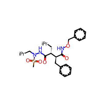 CC(C)C[C@@H](C(=O)NN(CC(C)C)S(C)(=O)=O)[C@H](Cc1ccccc1)C(=O)NOCc1ccccc1